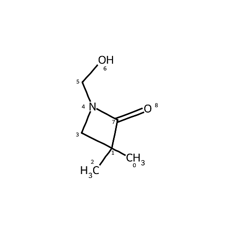 CC1(C)CN(CO)C1=O